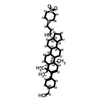 CC1(C)C(C2=CC[C@H](CO)CC2)=CC[C@]2(C)C3CCC4C(CC[C@@]5(NCCN6CCS(=O)(=O)CC6)CCCC45)C3CCC12